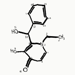 CCn1ccc(=O)c(O)c1C(O)c1ccccc1